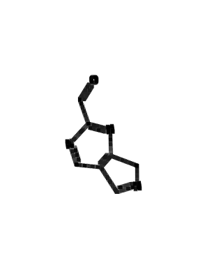 O=Cc1ncc2c(n1)CN=C2